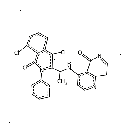 CC(Nc1ccnc2c1C(=O)N=CC2)c1c(Cl)c2cccc(Cl)c2c(=O)n1-c1ccccc1